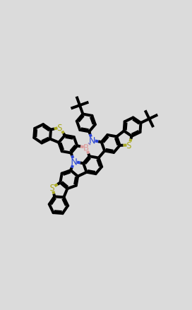 CC(C)(C)c1ccc(N2B3c4cc5sc6ccccc6c5cc4-n4c5cc6sc7ccccc7c6cc5c5ccc(c3c54)-c3cc4sc5cc(C(C)(C)C)ccc5c4cc32)cc1